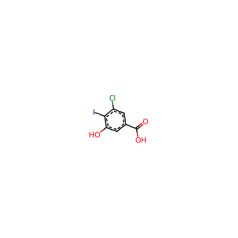 O=C(O)c1cc(O)c(I)c(Cl)c1